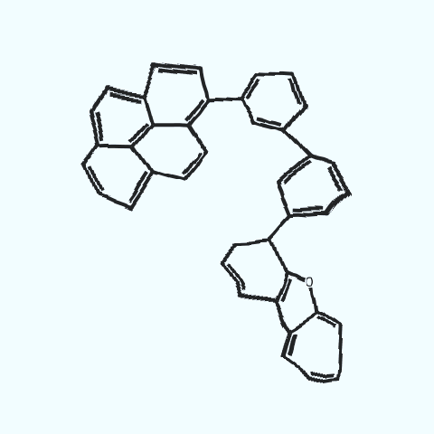 C1=Cc2c(oc3ccccc23)C(c2cccc(-c3cccc(-c4ccc5ccc6cccc7ccc4c5c67)c3)c2)C1